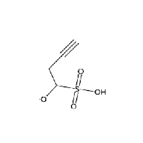 C#CCC([O])S(=O)(=O)O